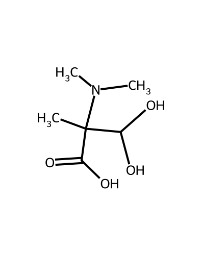 CN(C)C(C)(C(=O)O)C(O)O